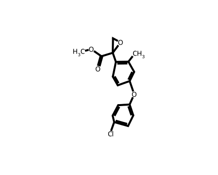 COC(=O)C1(c2ccc(Oc3ccc(Cl)cc3)cc2C)CO1